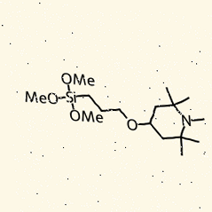 CO[Si](CCCOC1CC(C)(C)N(C)C(C)(C)C1)(OC)OC